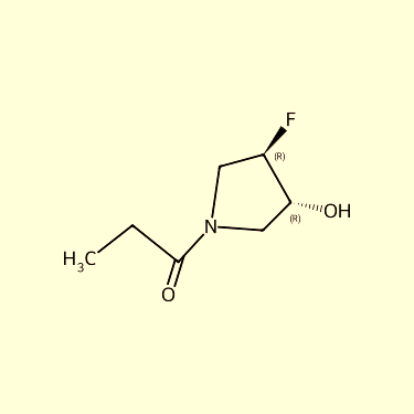 CCC(=O)N1C[C@@H](O)[C@H](F)C1